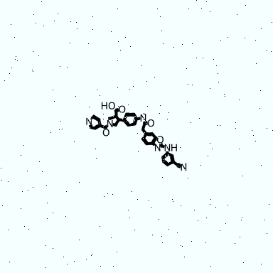 CN(C(=O)Cc1ccc2nc(Nc3cccc(C#N)c3)oc2c1)c1ccc(C2CN(C(=O)c3ccncc3)CC2C(=O)O)cc1